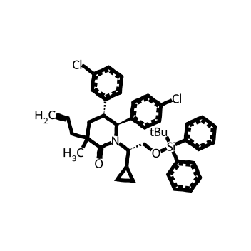 C=CCC1(C)C[C@H](c2cccc(Cl)c2)[C@@H](c2ccc(Cl)cc2)N([C@H](CO[Si](c2ccccc2)(c2ccccc2)C(C)(C)C)C2CC2)C1=O